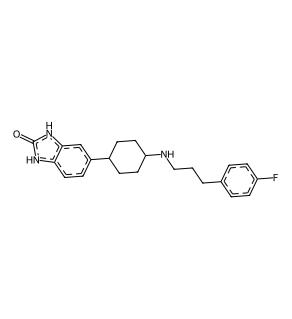 O=c1[nH]c2ccc(C3CCC(NCCCc4ccc(F)cc4)CC3)cc2[nH]1